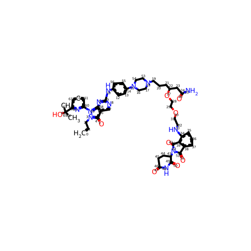 C=CCn1c(=O)c2cnc(Nc3ccc(N4CCN(CCCC(CC(N)=O)OCCOCCNc5cccc6c5C(=O)N(C5CCC(=O)NC5=O)C6=O)CC4)cc3)nc2n1-c1cccc(C(C)(C)O)n1